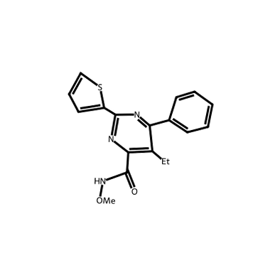 CCc1c(C(=O)NOC)nc(-c2cccs2)nc1-c1ccccc1